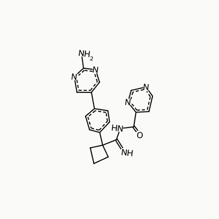 N=C(NC(=O)c1ccncn1)C1(c2ccc(-c3cnc(N)nc3)cc2)CCC1